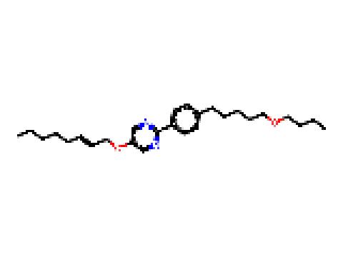 CCCCCC=CCOc1cnc(-c2ccc(CCCCCOCCCC)cc2)nc1